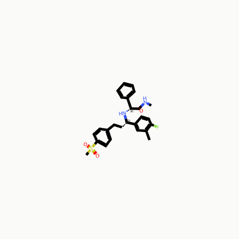 CNC(=O)[C@H](N[C@@H](CCc1ccc(S(C)(=O)=O)cc1)c1ccc(F)c(C)c1)c1ccccc1